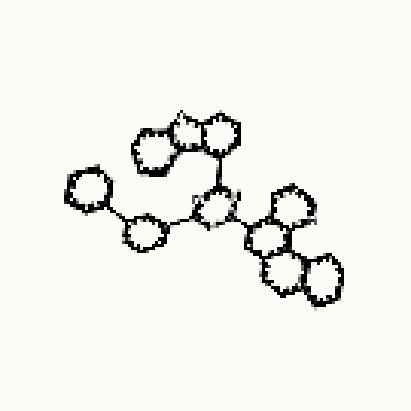 c1ccc(-c2cccc(-c3nc(-c4cc5ccc6ccccc6c5c5ncccc45)nc(-c4cccc5oc6ccccc6c45)n3)c2)cc1